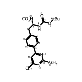 CC(C)(C)OC(=O)N[C@@H](Cc1ccc(-c2cc(Cl)nc([AsH2])n2)cc1)C(=O)O